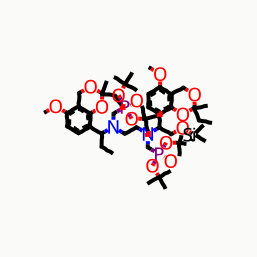 CCC(c1ccc(OC)c2c1OC(C)(CC)OC2)N(CCN(CP(=O)(OC(C)(C)C)OC(C)(C)C)C(CO[Si](C)(C)C)c1ccc(OC)c2c1OC(C)(CC)OC2)CP(=O)(OC(C)(C)C)OC(C)(C)C